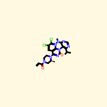 C=CC(=O)N1CCN(c2nc(=O)n(-c3c(C(C)C)ncnc3N(C)C)c3nc(Cl)c(Cl)cc23)[C@@H](C)C1